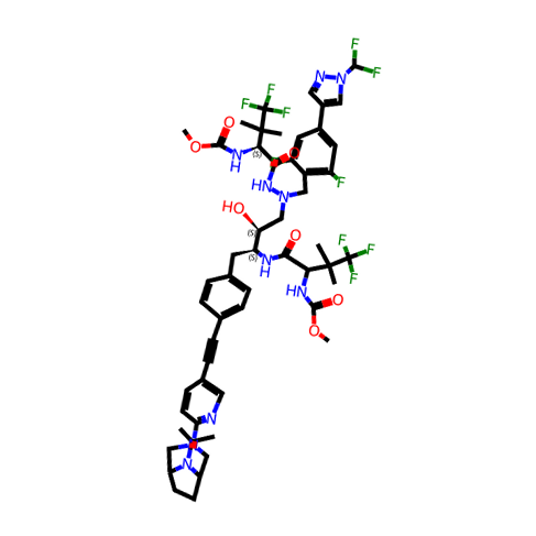 COC(=O)NC(C(=O)N[C@@H](Cc1ccc(C#Cc2ccc(N3CC4CCC(C3)N4C(C)C)nc2)cc1)[C@@H](O)CN(Cc1c(F)cc(-c2cnn(C(F)F)c2)cc1F)NC(=O)[C@@H](NC(=O)OC)C(C)(C)C(F)(F)F)C(C)(C)C(F)(F)F